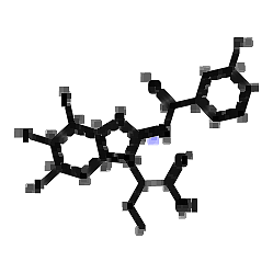 CCC(C(=O)O)n1/c(=N/C(=O)c2cccc(F)c2)sc2c(F)c(F)c(F)cc21